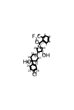 O=C(c1ccccc1C(F)(F)F)N1C[C@H](O)[C@@H](N2CCC(O)(c3ccc(Cl)cc3)CC2)C1